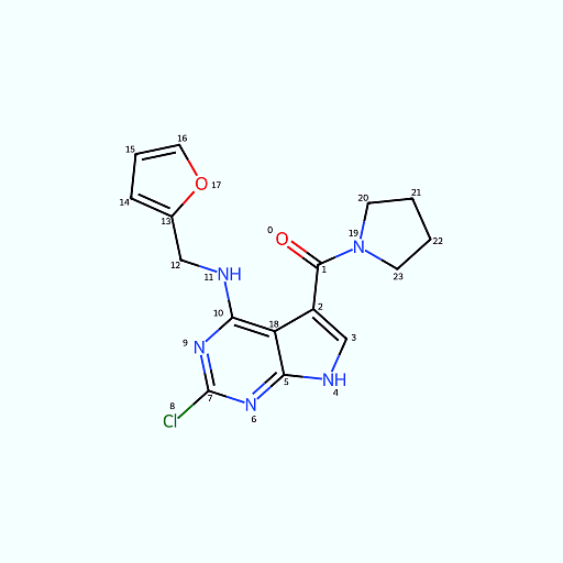 O=C(c1c[nH]c2nc(Cl)nc(NCc3ccco3)c12)N1CCCC1